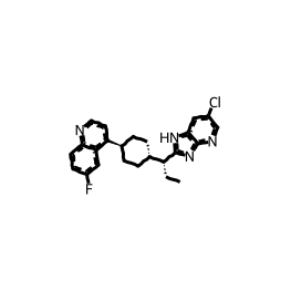 CC[C@@H](c1nc2ncc(Cl)cc2[nH]1)[C@H]1CC[C@H](c2ccnc3ccc(F)cc32)CC1